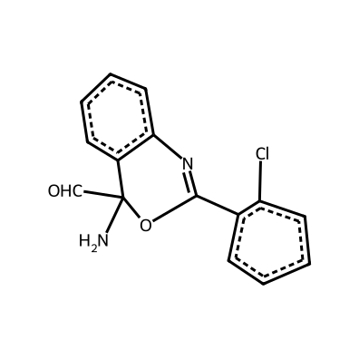 NC1(C=O)OC(c2ccccc2Cl)=Nc2ccccc21